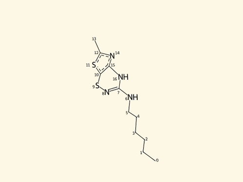 CCCCCCNC1=NSc2sc(C)nc2N1